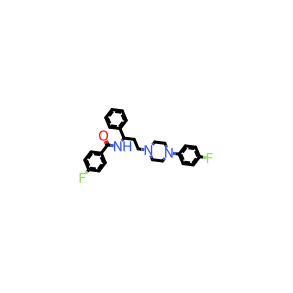 O=C(NC(CCN1CCN(c2ccc(F)cc2)CC1)c1ccccc1)c1ccc(F)cc1